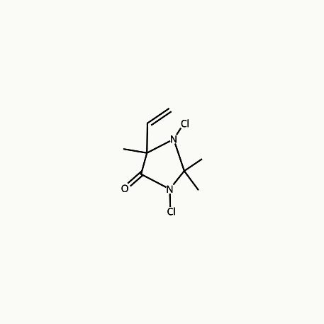 C=CC1(C)C(=O)N(Cl)C(C)(C)N1Cl